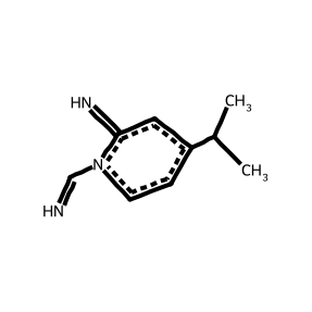 CC(C)c1ccn(C=N)c(=N)c1